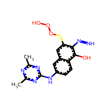 Cc1nc(C)nc(Nc2ccc3c(O)c(N=N)c(SOOO)cc3c2)n1